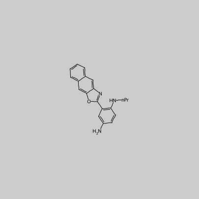 CCCNc1ccc(N)cc1-c1nc2cc3ccccc3cc2o1